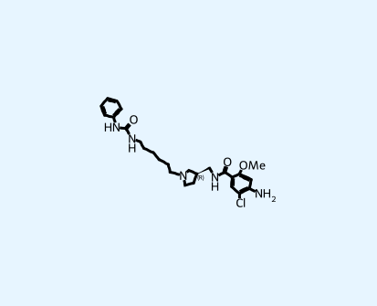 COc1cc(N)c(Cl)cc1C(=O)NC[C@H]1CCN(CCCCCCNC(=O)Nc2ccccc2)C1